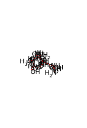 CC[C@H](C)[C@@H]1NC(=O)[C@H](Cc2ccc(O)cc2)NC(=O)CCCONC[C@@H](C(=O)NCCCCCC(=O)N[C@@H](CO)C(=O)NCC(N)=O)NC(=O)[C@H](CC(N)=O)NC(=O)[C@H](CCC(N)=O)NC1=O